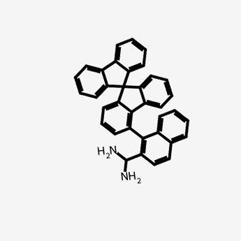 NC(N)c1ccc2ccccc2c1-c1cccc2c1-c1ccccc1C21c2ccccc2-c2ccccc21